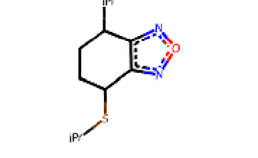 CC(C)SC1CCC(C(C)C)c2nonc21